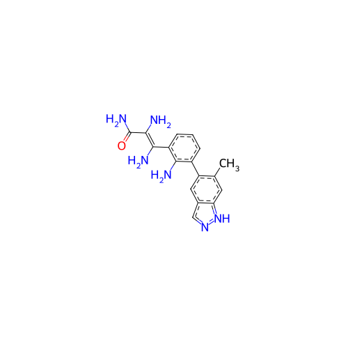 Cc1cc2[nH]ncc2cc1-c1cccc(/C(N)=C(\N)C(N)=O)c1N